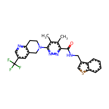 Cc1c(C(=O)NCc2csc3ccccc23)nnc(N2CCc3ncc(C(F)(F)F)cc3C2)c1C